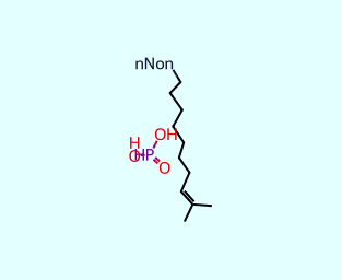 CCCCCCCCCCCCCCCCC=C(C)C.O=[PH](O)O